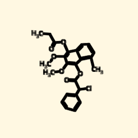 CCC(=O)Oc1c(OC)c(OC)c(OC(=O)C(Cl)c2ccccc2)c2c(C)cccc12